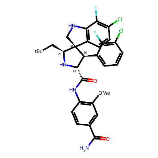 COc1cc(C(N)=O)ccc1NC(=O)[C@@H]1N[C@@H](CC(C)(C)C)[C@@]2(CNc3c2ccc(Cl)c3F)[C@H]1c1cccc(Cl)c1F